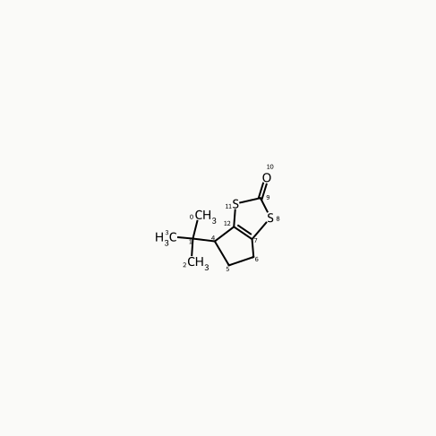 CC(C)(C)C1CCc2sc(=O)sc21